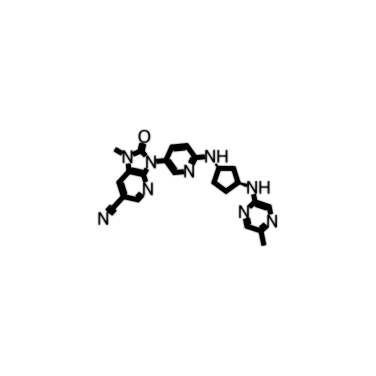 Cc1cnc(N[C@H]2CC[C@H](Nc3ccc(-n4c(=O)n(C)c5cc(C#N)cnc54)cn3)C2)cn1